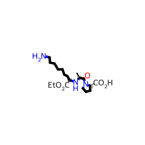 CCOC(=O)[C@H](CCCCCCCN)N[C@@H](C)C(=O)N1CCC[C@H]1C(=O)O